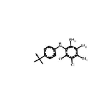 Bc1c(B)c(Cl)c(Cl)c(Nc2ccc(C(C)(C)C)cc2)c1B